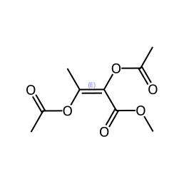 COC(=O)/C(OC(C)=O)=C(/C)OC(C)=O